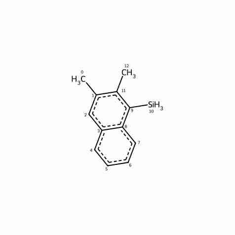 Cc1cc2ccccc2c([SiH3])c1C